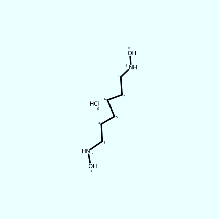 Cl.ONCCCCCCNO